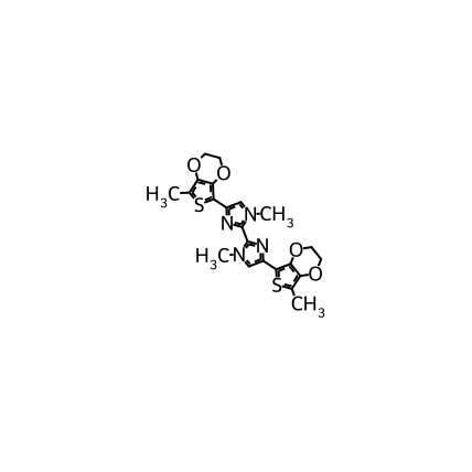 Cc1sc(-c2cn(C)c(-c3nc(-c4sc(C)c5c4OCCO5)cn3C)n2)c2c1OCCO2